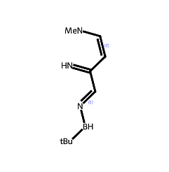 CN/C=C\C(=N)/C=N/BC(C)(C)C